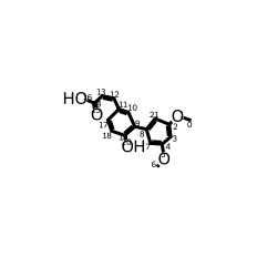 COc1cc(OC)cc(-c2cc(/C=C\C(=O)O)ccc2O)c1